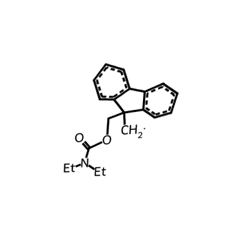 [CH2]C1(COC(=O)N(CC)CC)c2ccccc2-c2ccccc21